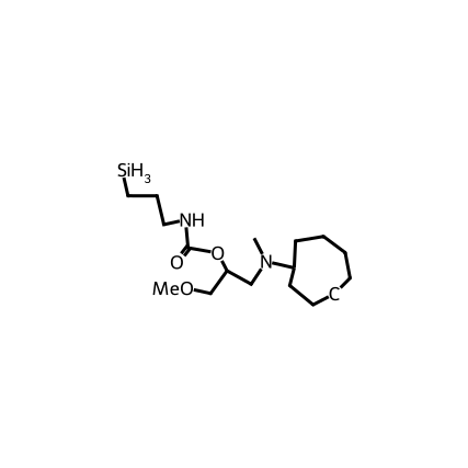 COCC(CN(C)C1CCCCCCC1)OC(=O)NCCC[SiH3]